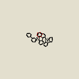 c1ccc(-c2cccc(N(c3ccccc3)c3ccccc3-c3c(-n4c5ccccc5c5ccccc54)ccc4ccccc34)c2)cc1